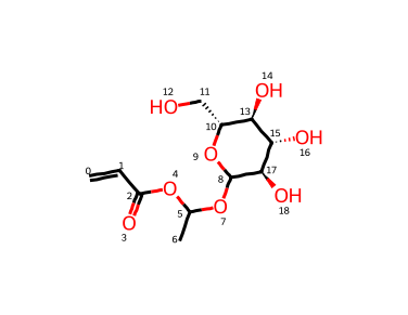 C=CC(=O)OC(C)OC1O[C@H](CO)[C@@H](O)[C@H](O)[C@H]1O